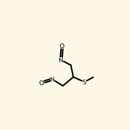 CSC(CN=O)CN=O